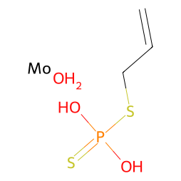 C=CCSP(O)(O)=S.O.[Mo]